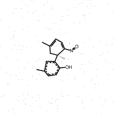 CC1=CC=C(N=O)[C@@](C)(c2cc(C)ccc2O)C1